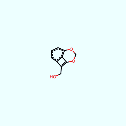 OCC1=C2OCOc3cccc1c32